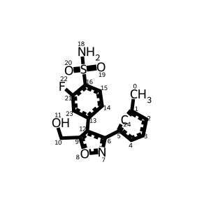 Cc1cccc(-c2noc(CO)c2-c2ccc(S(N)(=O)=O)c(F)c2)c1